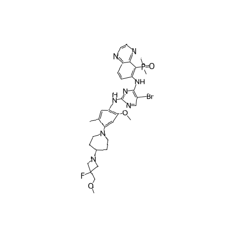 COCC1(F)CN(C2CCN(c3cc(OC)c(Nc4ncc(Br)c(Nc5ccc6nccnc6c5P(C)(C)=O)n4)cc3C)CC2)C1